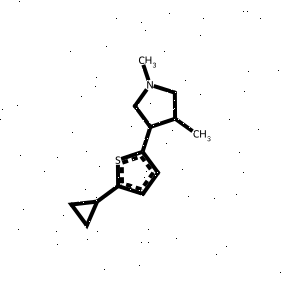 CC1CN(C)CC1c1ccc(C2CC2)s1